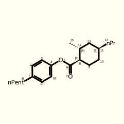 CCCCCc1ccc(OC(=O)[C@@H]2CC[C@H](CCC)C[C@H]2C)cc1